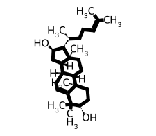 CC(C)=CCC[C@@H](C)[C@H]1[C@H](O)C[C@H]2[C@@H]3CC=C4C(C)(C)[C@@H](O)CC[C@]4(C)[C@H]3CC[C@]12C